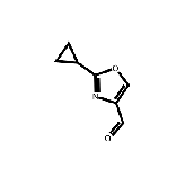 O=Cc1coc(C2CC2)n1